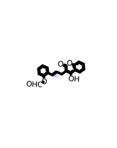 O=COc1ccccc1/C=C/Cc1c(O)c2ccccc2oc1=O